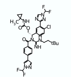 CC(C)(C)CCNC(=N)N(C(=O)c1ccc(-c2cnn(C(F)F)c2)cc1)[C@H](COC(=O)NC1(C)CC1)c1ccc(Cl)c(-c2ncn(C(F)F)n2)c1